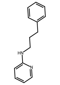 c1ccc(CCCNc2ccccn2)cc1